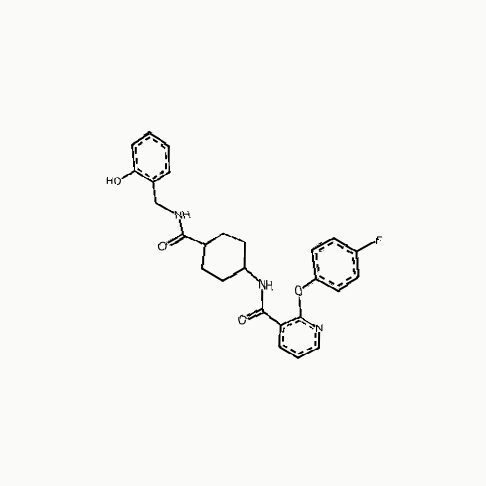 O=C(NC1CCC(C(=O)NCc2ccccc2O)CC1)c1cccnc1Oc1ccc(F)cc1